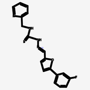 Fc1cccc(-c2ccc(/C=N/NC(=S)NCc3ccccn3)o2)c1